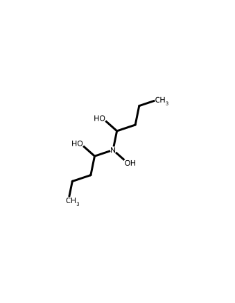 CCCC(O)N(O)C(O)CCC